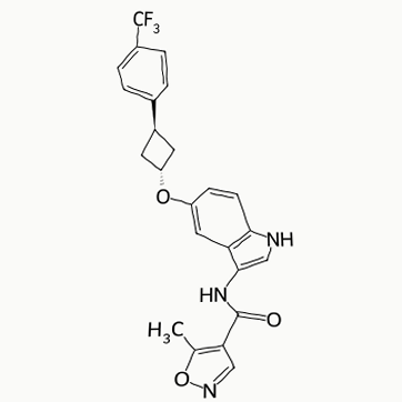 Cc1oncc1C(=O)Nc1c[nH]c2ccc(O[C@H]3C[C@H](c4ccc(C(F)(F)F)cc4)C3)cc12